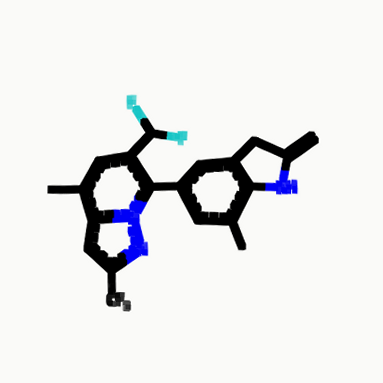 C=C1Cc2cc(-c3c(C(F)F)cc(C)c4cc(C(F)(F)F)nn34)cc(C)c2N1